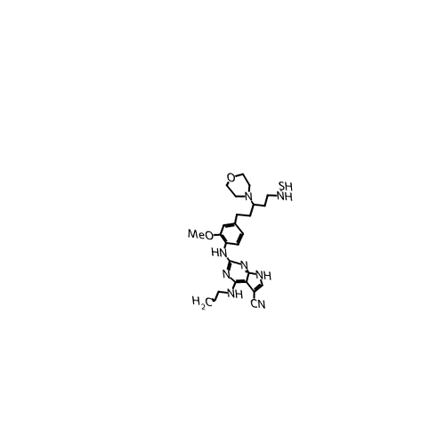 C=CCNc1nc(Nc2ccc(CCC(CCNS)N3CCOCC3)cc2OC)nc2[nH]cc(C#N)c12